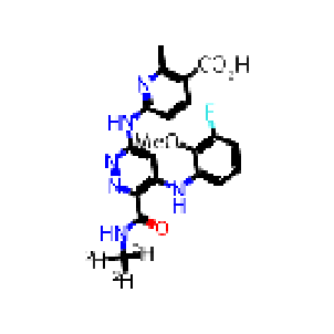 [2H]C([2H])([2H])NC(=O)c1nnc(Nc2ccc(C(=O)O)c(C)n2)cc1Nc1cccc(F)c1OC